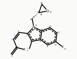 C=C(F)/C=C\c1c(C)c2cc(F)ccc2n1C[C@@H]1CO1